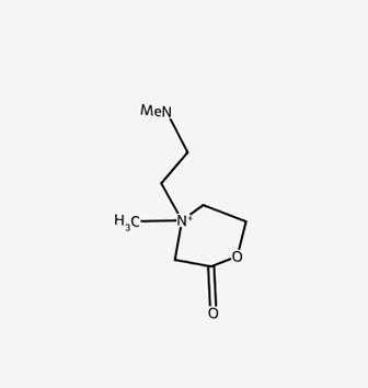 CNCC[N+]1(C)CCOC(=O)C1